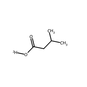 [2H]OC(=O)CC(C)C